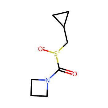 O=C(N1CCC1)[S+]([O-])CC1CC1